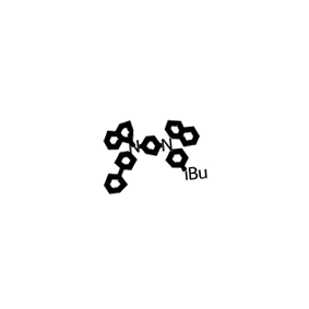 CCC(C)c1ccc(N(c2ccc(N(c3ccc(-c4ccccc4)cc3)c3cccc4ccccc34)cc2)c2cccc3ccccc23)cc1